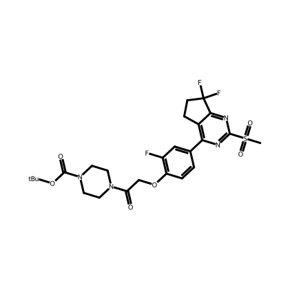 CC(C)(C)OC(=O)N1CCN(C(=O)COc2ccc(-c3nc(S(C)(=O)=O)nc4c3CCC4(F)F)cc2F)CC1